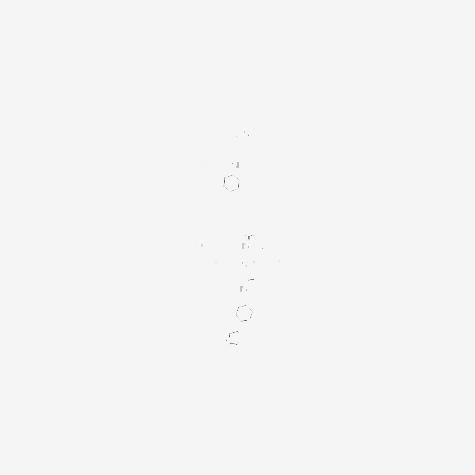 Cc1ncsc1-c1ccc([C@H](C)NC(=O)[C@@H]2C[C@@H](O)CN2C(=O)[C@@H](NC(=O)CCCCCc2cccc(O[C@H](C)[C@@H](N)CCC(N)=O)c2)C(C)(C)C)cc1.Cl